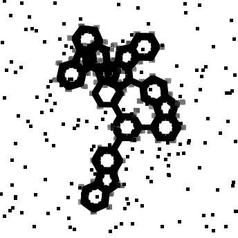 C1=C(c2nc(-c3ccc4c(c3)sc3ccccc34)nc(-c3cccc4oc5ccc(-c6ccc(-n7c8ccccc8c8ccccc87)c7sc8ccccc8c67)cc5c34)n2)CCc2c1sc1ccccc21